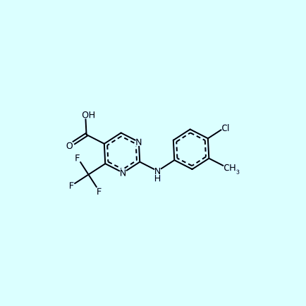 Cc1cc(Nc2ncc(C(=O)O)c(C(F)(F)F)n2)ccc1Cl